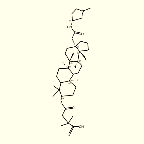 CN1CC[C@@H](NC(=O)C[C@]23CCC[C@@H]2[C@H]2CCC4[C@@]5(C)CC[C@H](OC(=O)CC(C)(C)C(=O)O)C(C)(C)C5CC[C@@]4(C)[C@]2(C)CC3)C1